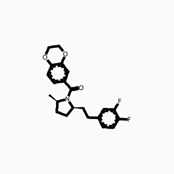 C[C@@H]1CC[C@H](CCc2ccc(F)c(F)c2)N1C(=O)c1ccc2c(c1)OCCO2